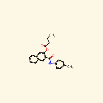 CCCC(=O)Oc1cc2ccccc2cc1C(=O)Nc1ccc(C)cc1